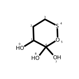 OC1CCSOC1(O)O